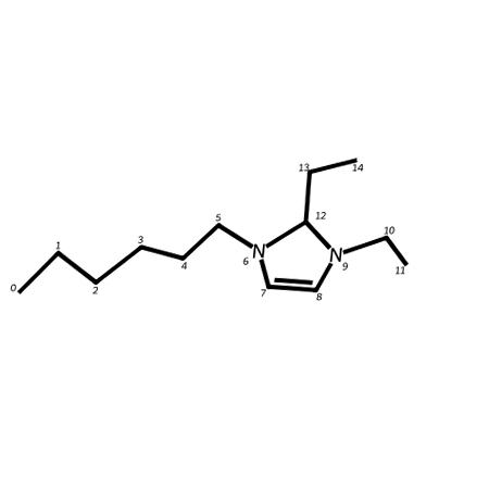 CCCCCCN1C=CN(CC)C1CC